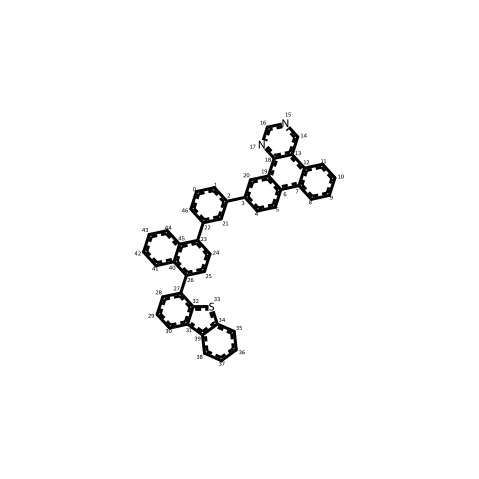 c1cc(-c2ccc3c4ccccc4c4cncnc4c3c2)cc(-c2ccc(-c3cccc4c3sc3ccccc34)c3ccccc23)c1